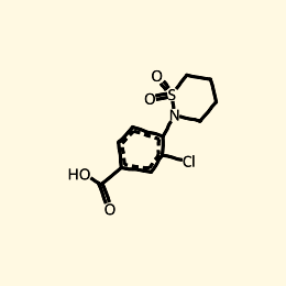 O=C(O)c1ccc(N2CCCCS2(=O)=O)c(Cl)c1